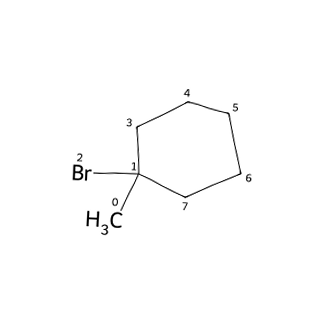 CC1(Br)CCCCC1